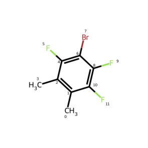 Cc1c(C)c(F)c(Br)c(F)c1F